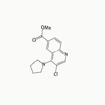 COC(=O)c1ccc2ncc(Cl)c(N3CCCC3)c2c1